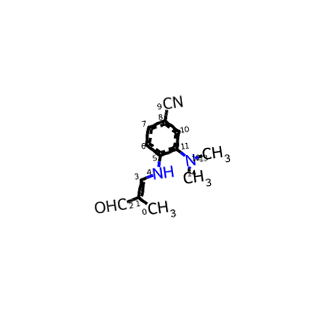 C/C(C=O)=C\Nc1ccc(C#N)cc1N(C)C